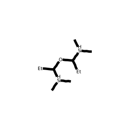 CC[C](O[C](CC)[SiH](C)C)[SiH](C)C